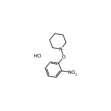 Cl.O=[N+]([O-])c1ccccc1ON1CCCCC1